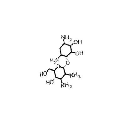 NC1C[C@@H](N)[C@@H](O)C(O)[C@@H]1O[C@H]1OC(CO)[C@@H](O)[C@H](N)C1N